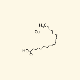 CCCCC/C=C\C/C=C\CCCCCCCC(=O)O.[Cu]